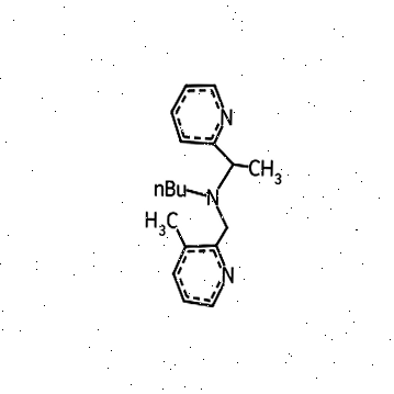 CCCCN(Cc1ncccc1C)C(C)c1ccccn1